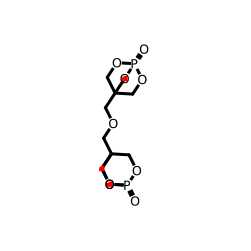 O=P12OCC(COCC34COP(=O)(OC3)OC4)(CO1)CO2